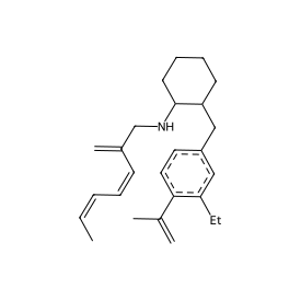 C=C(/C=C\C=C/C)CNC1CCCCC1Cc1ccc(C(=C)C)c(CC)c1